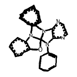 C1=CCCC(N2c3nccnc3N(c3ccccc3)C23Oc2ccccc2N3c2ccccc2)=C1